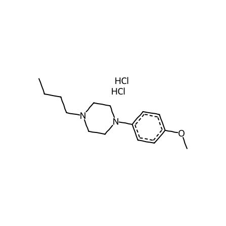 CCCCN1CCN(c2ccc(OC)cc2)CC1.Cl.Cl